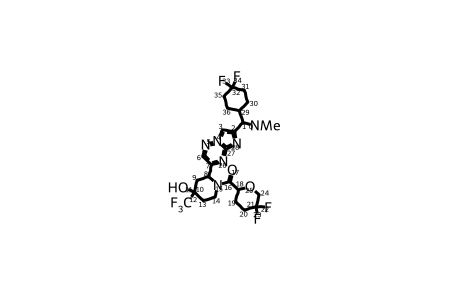 CNC(c1cn2ncc(C3CC(O)(C(F)(F)F)CCN3C(=O)C3CCC(F)(F)CO3)nc2n1)C1CCC(F)(F)CC1